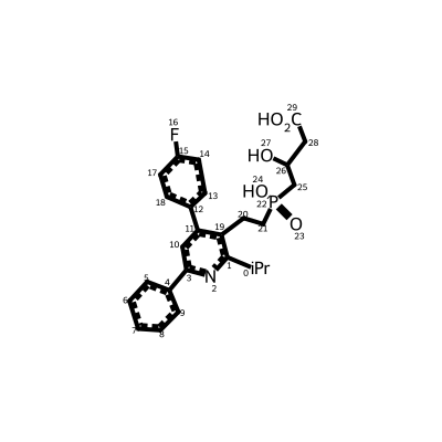 CC(C)c1nc(-c2ccccc2)cc(-c2ccc(F)cc2)c1CCP(=O)(O)CC(O)CC(=O)O